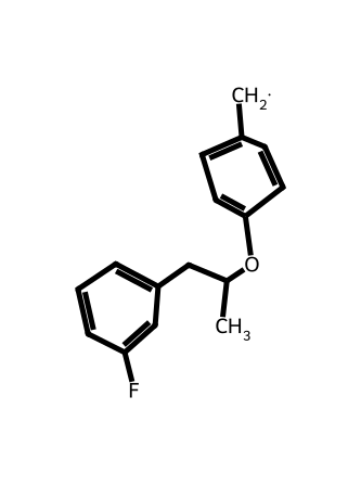 [CH2]c1ccc(OC(C)Cc2cccc(F)c2)cc1